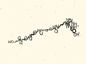 C#CCCCC(=O)NCCOCCOCCOCCC(=O)NCCOCCOCCC(=O)NCCCCn1nc(-c2cc3cc(O)ccc3[nH]2)c2c(N)ncnc21